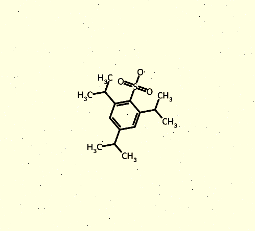 CC(C)c1cc(C(C)C)c(S([O])(=O)=O)c(C(C)C)c1